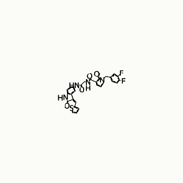 O=C(CNC(=O)c1cccn(Cc2ccc(F)c(F)c2)c1=O)Nc1ccc2c(c1)/C(=C/c1cccs1)C(=O)N2